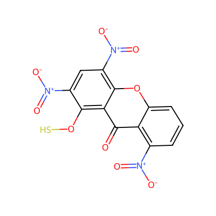 O=c1c2c([N+](=O)[O-])cccc2oc2c([N+](=O)[O-])cc([N+](=O)[O-])c(OS)c12